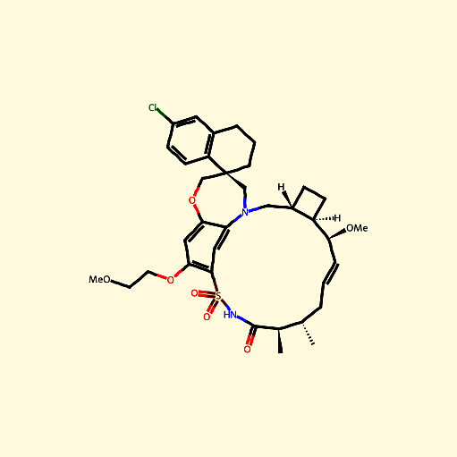 COCCOc1cc2c3cc1S(=O)(=O)NC(=O)[C@H](C)[C@@H](C)C/C=C/[C@H](OC)[C@@H]1CC[C@H]1CN3C[C@@]1(CCCc3cc(Cl)ccc31)CO2